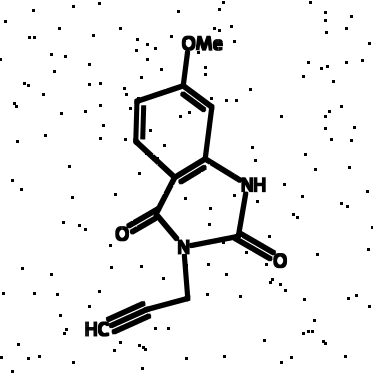 C#CCn1c(=O)[nH]c2cc(OC)ccc2c1=O